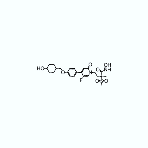 C[C@@](CCn1cc(F)c(-c2ccc(OCC3CCC(O)CC3)cc2)cc1=O)(C(=O)NO)S(C)(=O)=O